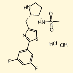 CS(=O)(=O)N[C@H]1CCN[C@H]1Cc1csc(-c2cc(F)cc(F)c2)n1.Cl.Cl